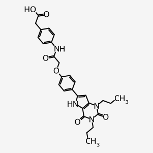 CCCn1c(=O)c2[nH]c(-c3ccc(OCC(=O)Nc4ccc(CC(=O)O)cc4)cc3)cc2n(CCC)c1=O